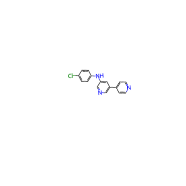 Clc1ccc(Nc2cncc(-c3ccncc3)c2)cc1